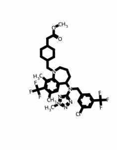 COC(=O)CC1CCC(CN2CCCC(N(Cc3cc(Cl)cc(C(F)(F)F)c3)c3nnn(C)n3)c3cc(C)c(C(F)(F)F)c(C)c32)CC1